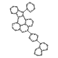 c1ccc(-n2c3ccccc3c3c4cccc5cc(-c6ccc(-c7cccc8ccccc78)cc6)c6cccc(c6c54)c32)cc1